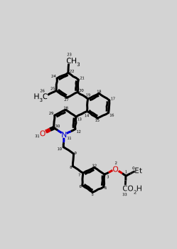 CCC(Oc1cccc(CCCn2cc(-c3ccccc3-c3cc(C)cc(C)c3)ccc2=O)c1)C(=O)O